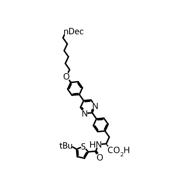 CCCCCCCCCCCCCCCCOc1ccc(-c2cnc(-c3ccc(C[C@H](NC(=O)c4ccc(C(C)(C)C)s4)C(=O)O)cc3)nc2)cc1